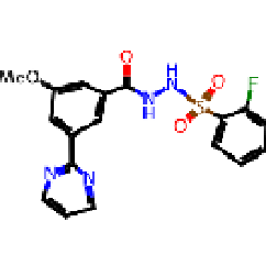 COc1cc(C(=O)NNS(=O)(=O)c2ccccc2F)cc(-c2ncccn2)c1